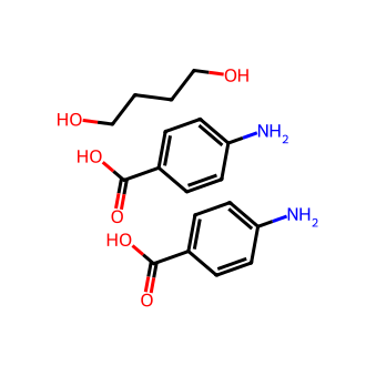 Nc1ccc(C(=O)O)cc1.Nc1ccc(C(=O)O)cc1.OCCCCO